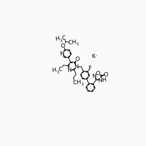 CCCc1nc(CC)c(-c2ccc(OC(C)C)nc2)c(=O)n1Cc1ccc(-c2ccccc2-c2noc(=O)[nH]2)cc1F.[K]